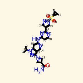 CC(C)n1nc(N2CC(C(N)=O)C2)c2cnc(Nc3ccnc(-c4cnn(S(=O)(=O)C5CC5)c4)n3)cc21